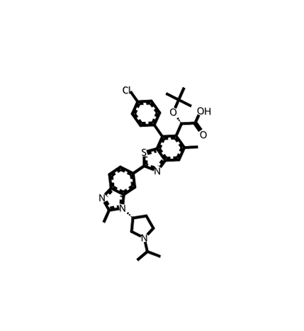 Cc1cc2nc(-c3ccc4nc(C)n([C@@H]5CCN(C(C)C)C5)c4c3)sc2c(-c2ccc(Cl)cc2)c1[C@H](OC(C)(C)C)C(=O)O